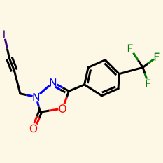 O=c1oc(-c2ccc(C(F)(F)F)cc2)nn1CC#CI